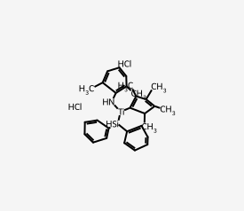 CC1=C(C)C(C)[C]([Ti]([NH]c2c(C)cccc2C)[SiH](c2ccccc2)c2ccccc2)=C1C.Cl.Cl